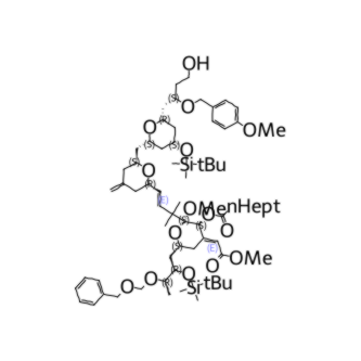 C=C1C[C@@H](C[C@H]2C[C@@H](O[Si](C)(C)C(C)(C)C)C[C@@H](C[C@H](CCO)OCc3ccc(OC)cc3)O2)O[C@@H](/C=C/C(C)(C)[C@]2(OC)O[C@H](C[C@@H](O[Si](C)(C)C(C)(C)C)[C@@H](C)OCOCc3ccccc3)C/C(=C\C(=O)OC)[C@@H]2OC(=O)CCCCCCC)C1